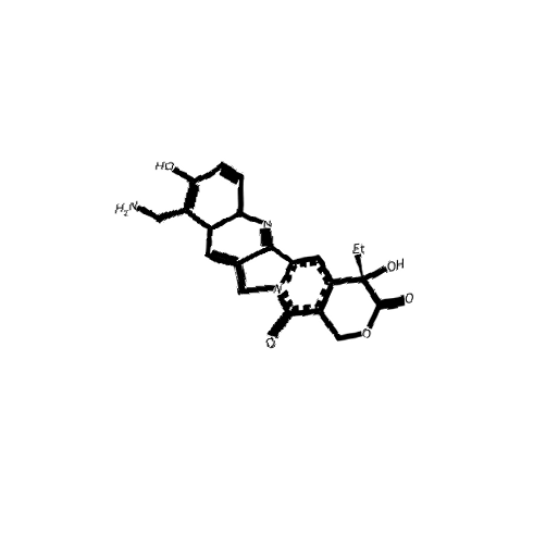 CC[C@@]1(O)C(=O)OCc2c1cc1n(c2=O)CC2=CC3C(CN)=C(O)C=CC3N=C21